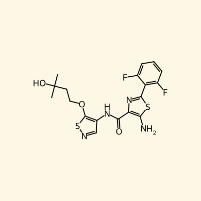 CC(C)(O)CCOc1sncc1NC(=O)c1nc(-c2c(F)cccc2F)sc1N